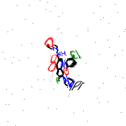 CC(C)N1CCN(c2c(F)cc3c(=O)c(C(=O)NCCN4CCOCC4)cn4c3c2Oc2ccc(Cl)cc2-4)CC1